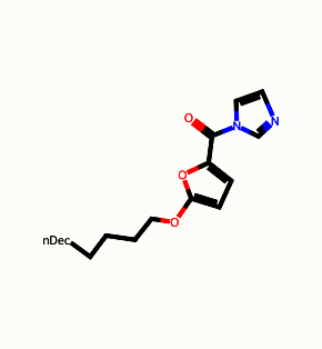 CCCCCCCCCCCCCCOc1ccc(C(=O)n2ccnc2)o1